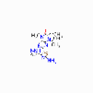 CCC1C(=O)N(C)c2cnc(-c3sc(N)nc3-c3ccn[nH]3)nc2N1C(C)C